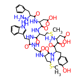 CSCCC(NC(=O)CNC(=O)C(Cc1c[nH]c2ccccc12)NC(=O)C(CCSC)NC(=O)C(CC(=O)O)NC(=O)C(Cc1ccccc1)NN)C(=O)NC(Cc1ccc(O)cc1)C(=O)C(=O)C(N)CC(=O)O